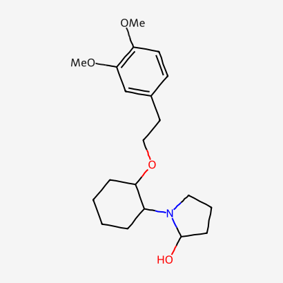 COc1ccc(CCOC2CCCCC2N2CCCC2O)cc1OC